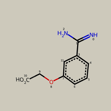 N=C(N)c1cccc(OCC(=O)O)c1